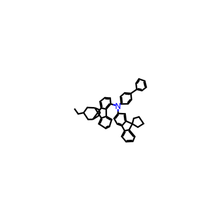 CCC1CC2CCCC(C1)C21c2ccccc2-c2c(N(c3ccc(-c4ccccc4)cc3)c3ccc4c(c3)C3(CCCC3)c3ccccc3-4)cccc21